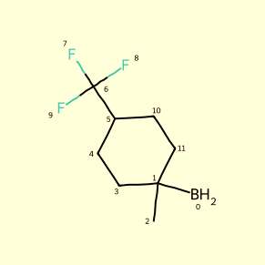 BC1(C)CCC(C(F)(F)F)CC1